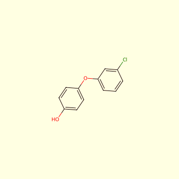 Oc1ccc(Oc2cccc(Cl)c2)cc1